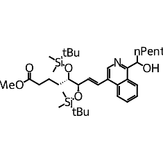 CCCCCC(O)c1ncc(/C=C/[C@@H](O[Si](C)(C)C(C)(C)C)[C@H](CCCC(=O)OC)O[Si](C)(C)C(C)(C)C)c2ccccc12